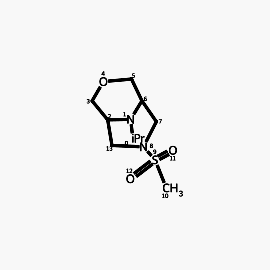 CC(C)N1C2COCC1CN(S(C)(=O)=O)C2